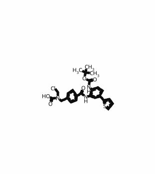 CC(C)(C)OC(=O)Nc1ccc(-c2cccs2)cc1NC(=O)c1ccc(CN(CCl)C(=O)O)cc1